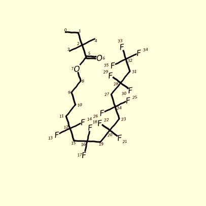 CCC(C)(C)C(=O)OCCCCC(F)(F)CC(F)(F)CC(F)(F)CC(F)(F)CC(F)(F)CC(F)(F)F